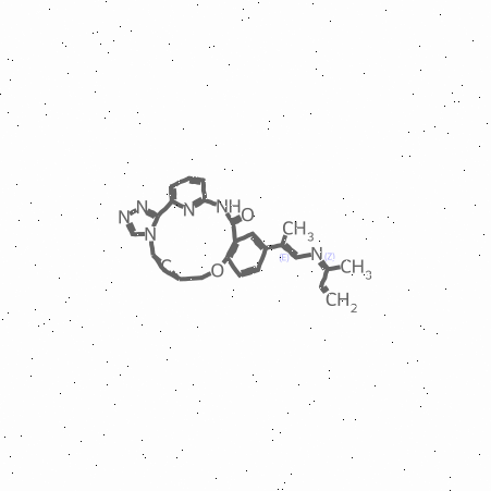 C=C/C(C)=N\C=C(/C)c1ccc2c(c1)C(=O)Nc1cccc(n1)-c1nncn1C1CC(CO2)C1